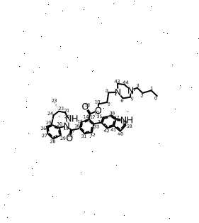 CCCCN1CCN(CCCOC(=O)c2cc(C(=O)N3NC[C@@H](C)Cc4ccccc43)ccc2-c2ccc3[nH]ccc3c2)CC1